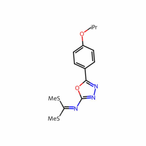 CSC(=Nc1nnc(-c2ccc(OC(C)C)cc2)o1)SC